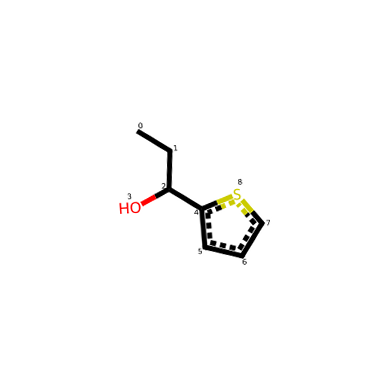 CCC(O)c1cccs1